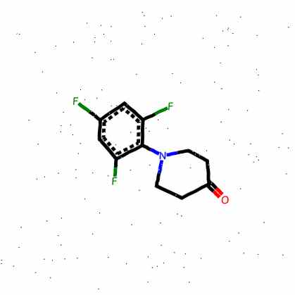 O=C1CCN(c2c(F)cc(F)cc2F)CC1